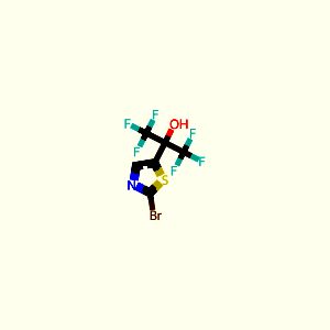 OC(c1cnc(Br)s1)(C(F)(F)F)C(F)(F)F